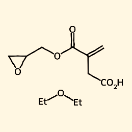 C=C(CC(=O)O)C(=O)OCC1CO1.CCOCC